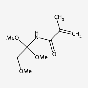 C=C(C)C(=O)NC(COC)(OC)OC